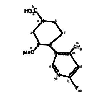 COC1CN(C(=O)O)CCC1c1cnc(F)cc1C